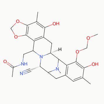 COCOc1c(O)c(C)cc2c1C1[C@@H]3Cc4c(O)c(C)c5c(c4C(CNC(C)=O)N3[C@@H](C#N)C(C2)N1C)OCO5